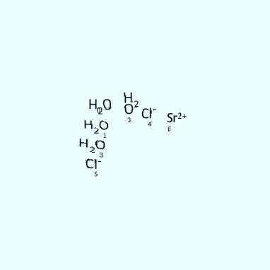 O.O.O.O.[Cl-].[Cl-].[Sr+2]